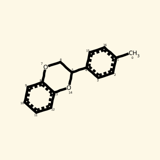 Cc1ccc(C2COc3ccccc3O2)cc1